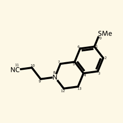 CSc1ccc2c(c1)CN(CCC#N)CC2